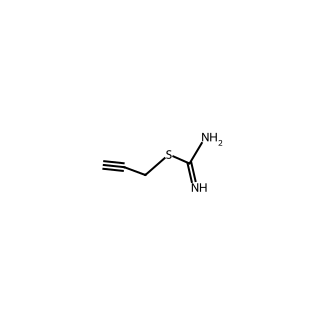 C#CCSC(=N)N